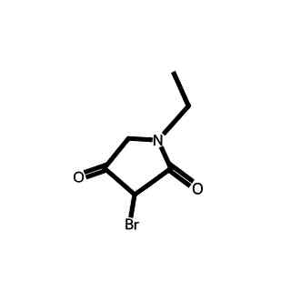 CCN1CC(=O)C(Br)C1=O